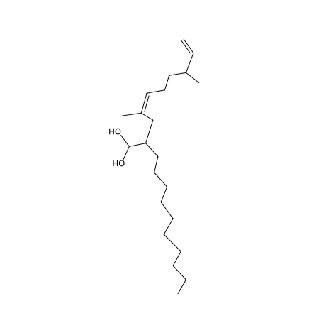 C=CC(C)CCC=C(C)CC(CCCCCCCCCC)C(O)O